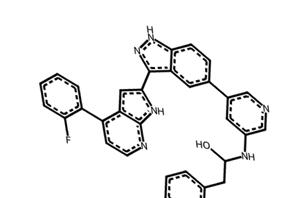 OC(Cc1ccccc1)Nc1cncc(-c2ccc3[nH]nc(-c4cc5c(-c6ccccc6F)ccnc5[nH]4)c3c2)c1